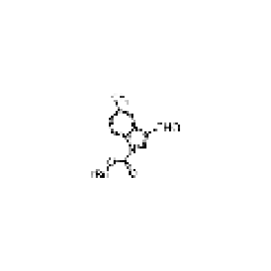 CC(C)(C)OC(=O)n1cc(C=O)c2cc(C(F)(F)F)ccc21